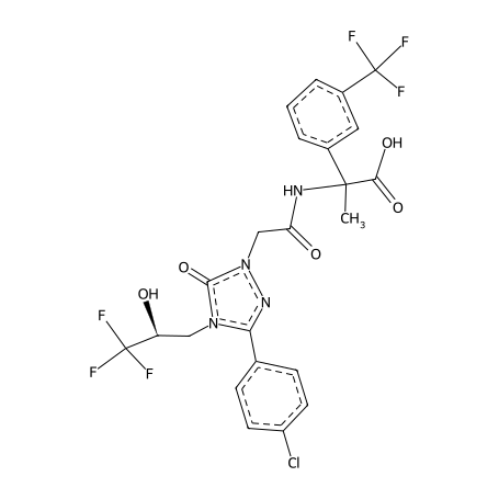 CC(NC(=O)Cn1nc(-c2ccc(Cl)cc2)n(C[C@H](O)C(F)(F)F)c1=O)(C(=O)O)c1cccc(C(F)(F)F)c1